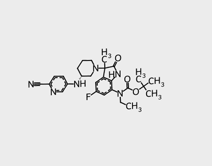 CCN(C(=O)OC(C)(C)C)c1cc(F)cc2c1NC(=O)C2(C)N1CCC[C@@H](Nc2ccc(C#N)nc2)C1